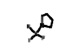 FS(F)(F)N1CCCC1